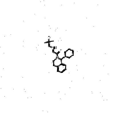 CC(C)(O)CNCC(=O)N1CCc2ccccc2C1C1CCCCC1